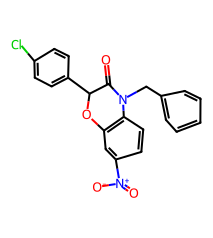 O=C1C(c2ccc(Cl)cc2)Oc2cc([N+](=O)[O-])ccc2N1Cc1ccccc1